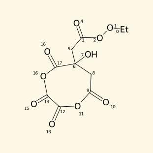 CCOOC(=O)CC1(O)CC(=O)OC(=O)C(=O)OC1=O